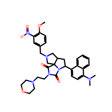 COc1ccc(CN2CC3CC(c4ccc(N(C)C)c5ccccc45)N4C(=O)N(CCN5CCOCC5)C(=O)C34C2)cc1[N+](=O)[O-]